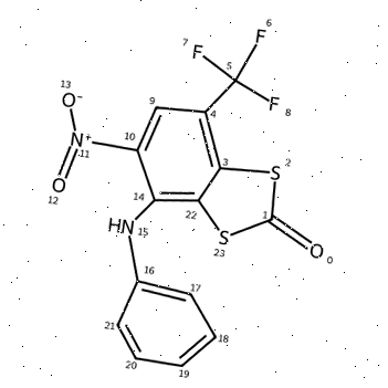 O=c1sc2c(C(F)(F)F)cc([N+](=O)[O-])c(Nc3ccccc3)c2s1